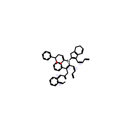 C=C/C=C\C1=C(N(C2=CCC(c3ccccc3)CC2)C(/C=C\C=C)=C(/CC(=C)/C=c2/cccc/c2=C/C)c2ccccc2)CC2=C1C=CCC2